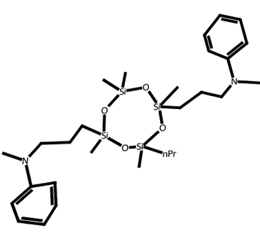 CCC[Si]1(C)O[Si](C)(CCCN(C)c2ccccc2)O[Si](C)(C)O[Si](C)(CCCN(C)c2ccccc2)O1